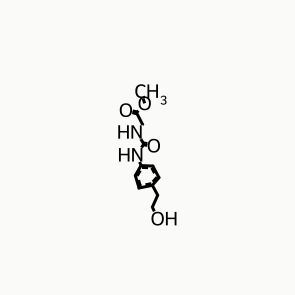 COC(=O)CNC(=O)Nc1ccc(CCO)cc1